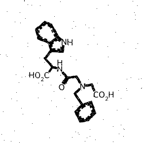 O=C(O)CN(CC(=O)NC(Cc1c[nH]c2ccccc12)C(=O)O)Cc1ccccc1